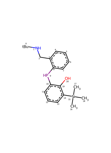 CC(C)(C)NCc1ccccc1Pc1cccc([Si](C)(C)C)c1O